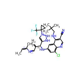 C=C(/C=N\C(C)=C/C)[C@H](Nc1cc(Cl)c2ncc(C#N)c(NCC(C)(C)C)c2c1)C1=CN(C2(C(F)(F)F)CC2)NN1